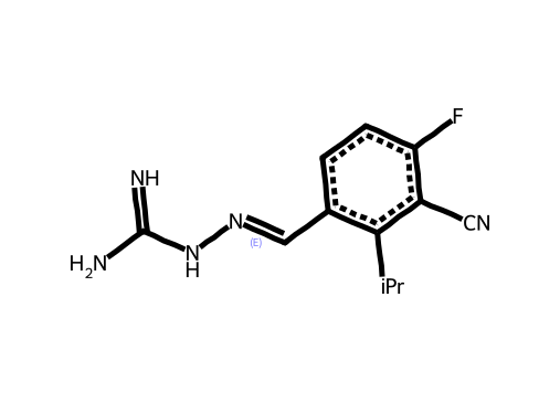 CC(C)c1c(/C=N/NC(=N)N)ccc(F)c1C#N